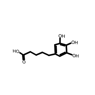 O=C(O)CCCCc1cc(O)c(O)c(O)c1